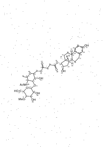 COC1C(C(=O)O)OC(OC2C(O)C(COC(=O)CCC(=O)O[C@H]3[C@H](O)C[C@H]4[C@@H]5CCc6cc(O)ccc6[C@H]5CC[C@@]43C)OC(C)C2NC(C)=O)C(O)C1O